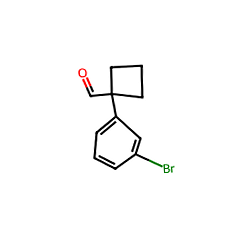 O=CC1(c2cccc(Br)c2)CCC1